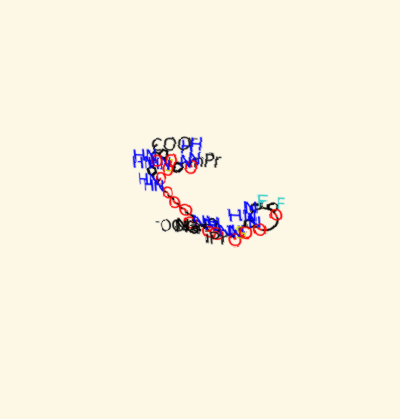 CCCNC(=O)Nc1cccc(S(=O)(=O)Nc2cccc([C@@H](CC(=O)[O-])NC(=O)Nc3ccc(NC(=O)NCCOCCOCCOCCC(=O)N[C@@H](CC(=O)[O-])C(=O)N4CCC[C@H]4C(=O)N[C@H](C(=O)N=[S@](C)(=O)Cc4cc5nc(c4)O[C@H](C)CCCCOc4cc(F)ccc4-c4cc(ncc4F)N5)C(C)C)cc3)c2)c1.[Na+].[Na+]